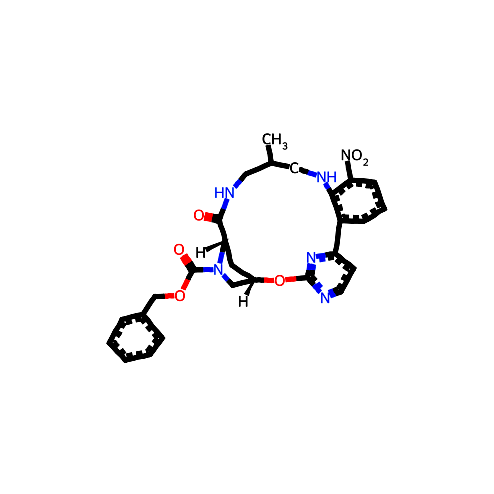 CC1CNC(=O)[C@@H]2C[C@@H](CN2C(=O)OCc2ccccc2)Oc2nccc(n2)-c2cccc([N+](=O)[O-])c2NC1